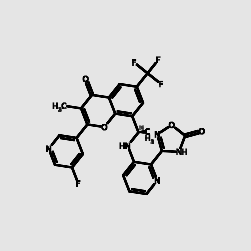 Cc1c(-c2cncc(F)c2)oc2c([C@@H](C)Nc3cccnc3-c3noc(=O)[nH]3)cc(C(F)(F)F)cc2c1=O